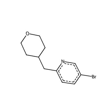 Brc1ccc(CC2CCOCC2)nc1